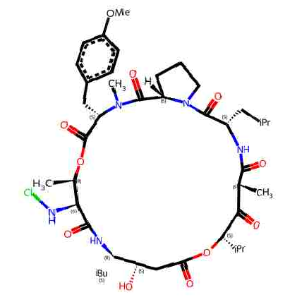 CC[C@H](C)[C@H]1NC(=O)[C@@H](NCl)[C@@H](C)OC(=O)[C@H](Cc2ccc(OC)cc2)N(C)C(=O)[C@@H]2CCCN2C(=O)[C@H](CC(C)C)NC(=O)[C@@H](C)C(=O)[C@H](C(C)C)OC(=O)C[C@@H]1O